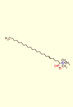 CCCCCCCCCCCCCCCCCC=CCCCC(P(=O)=O)[N+](C)(C)C